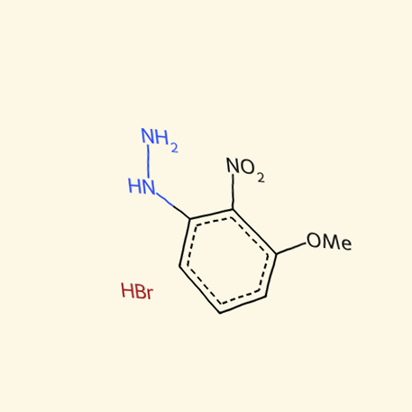 Br.COc1cccc(NN)c1[N+](=O)[O-]